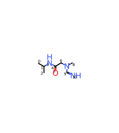 CC(C)NC(=O)CN(C)C=N